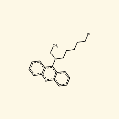 CSN(CCCCCBr)c1c2ccccc2nc2ccccc12